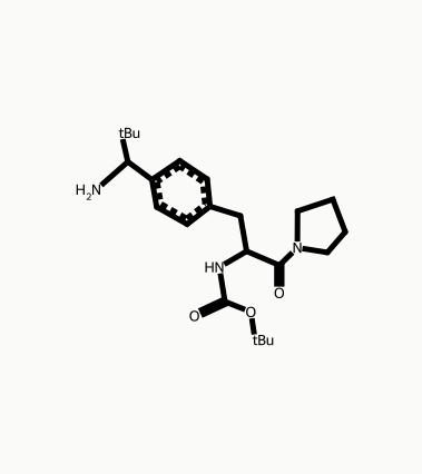 CC(C)(C)OC(=O)NC(Cc1ccc(C(N)C(C)(C)C)cc1)C(=O)N1CCCC1